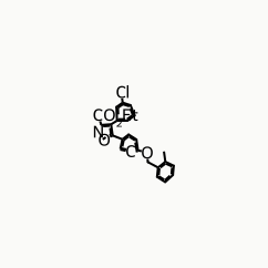 CCOC(=O)c1noc(-c2ccc(OCc3ccccc3C)cc2)c1-c1cccc(Cl)c1